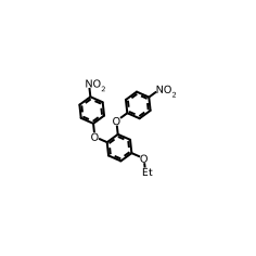 CCOc1ccc(Oc2ccc([N+](=O)[O-])cc2)c(Oc2ccc([N+](=O)[O-])cc2)c1